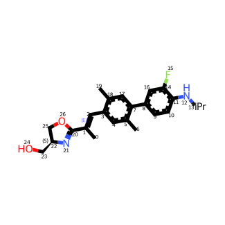 C/C(=C\c1cc(C)c(-c2ccc(NC(C)C)c(F)c2)cc1C)C1=N[C@@H](CO)CO1